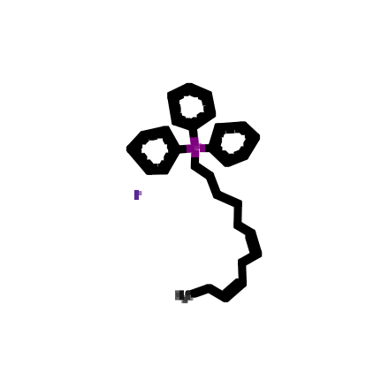 CC/C=C\C/C=C\CCCCC[P+](c1ccccc1)(c1ccccc1)c1ccccc1.[I-]